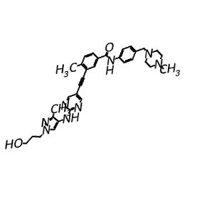 Cc1ccc(C(=O)Nc2ccc(CN3CCN(C)CC3)cc2)cc1C#Cc1cnc(Nc2cn(CCCO)nc2C)nc1